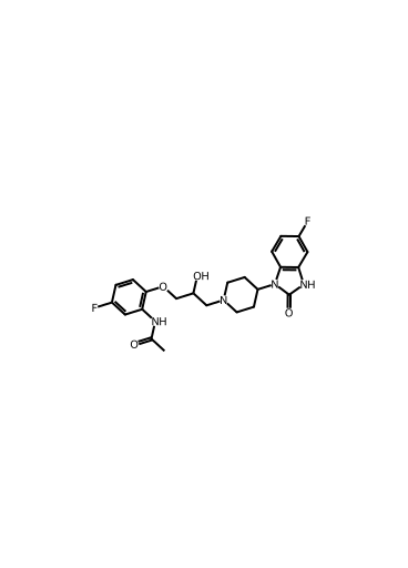 CC(=O)Nc1cc(F)ccc1OCC(O)CN1CCC(n2c(=O)[nH]c3cc(F)ccc32)CC1